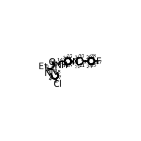 CCc1nc2cc(Cl)ccn2c1C(=O)NCc1ccc(N2CCC(c3ccc(F)cc3)CC2)cc1